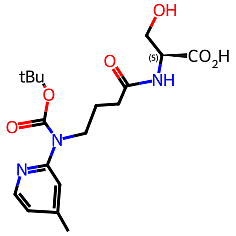 Cc1ccnc(N(CCCC(=O)N[C@@H](CO)C(=O)O)C(=O)OC(C)(C)C)c1